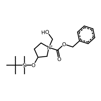 CC(C)(C)[Si](C)(C)OC1CC[N+](CO)(C(=O)OCc2ccccc2)C1